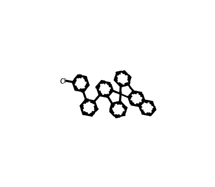 Clc1cccc(-c2ccccc2-c2cccc3c2-c2ccccc2C32c3ccccc3-c3cc4ccccc4cc32)c1